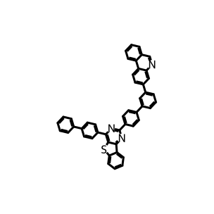 c1ccc(-c2ccc(-c3nc(-c4ccc(-c5cccc(-c6ccc7c(c6)ncc6ccccc67)c5)cc4)nc4c3sc3ccccc34)cc2)cc1